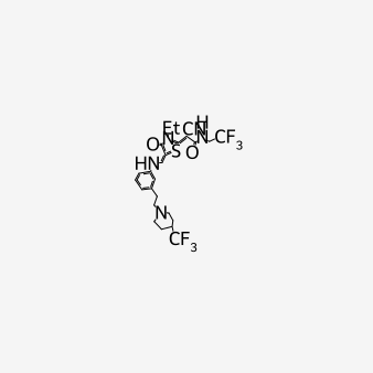 CCn1c(=O)c(=CNc2cccc(CCN3CCC(C(F)(F)F)CC3)c2)s/c1=C(/C#N)C(=O)NCC(F)(F)F